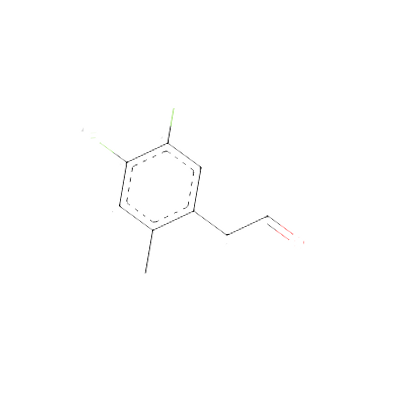 Cc1cc(F)c(F)cc1CC=O